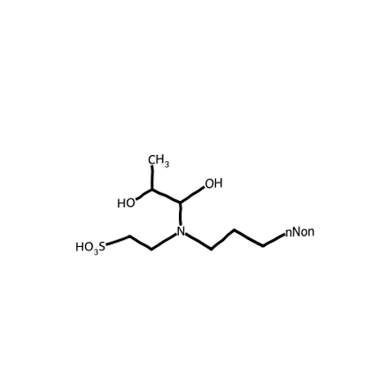 CCCCCCCCCCCCN(CCS(=O)(=O)O)C(O)C(C)O